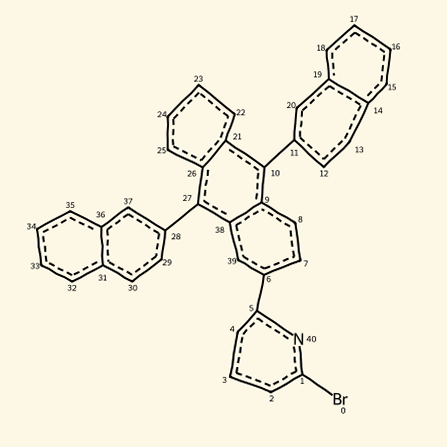 Brc1cccc(-c2ccc3c(-c4ccc5ccccc5c4)c4ccccc4c(-c4ccc5ccccc5c4)c3c2)n1